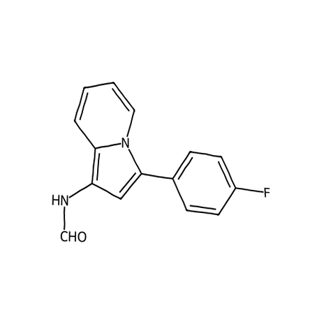 O=CNc1cc(-c2ccc(F)cc2)n2ccccc12